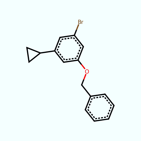 Brc1cc(OCc2ccccc2)cc(C2CC2)c1